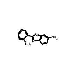 Nc1ccc2nc(-c3ccccc3N)oc2c1